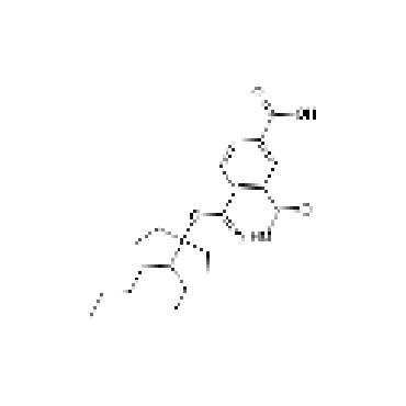 CCCCC(CC)C(CC)(CC)OC(=O)c1ccc(C(=O)O)cc1C(=O)O